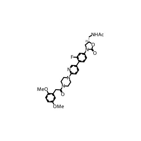 COc1ccc(OC)c(CC(=O)N2CCN(c3ccc(-c4ccc(N5C[C@H](CNC(C)=O)OC5=O)cc4F)cn3)CC2)c1